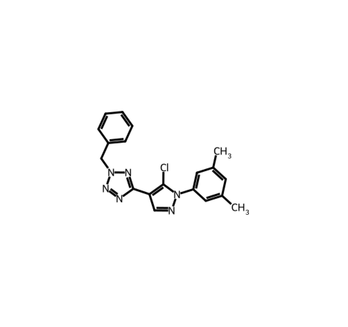 Cc1cc(C)cc(-n2ncc(-c3nnn(Cc4ccccc4)n3)c2Cl)c1